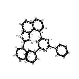 c1ccc(-c2nc(-c3ccccc3)nc(-c3cccc4ccc5sc(-c6ccccc6)nc5c34)n2)cc1